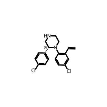 C=Cc1cc(Cl)ccc1N1CCNC[C@H]1c1ccc(Cl)cc1